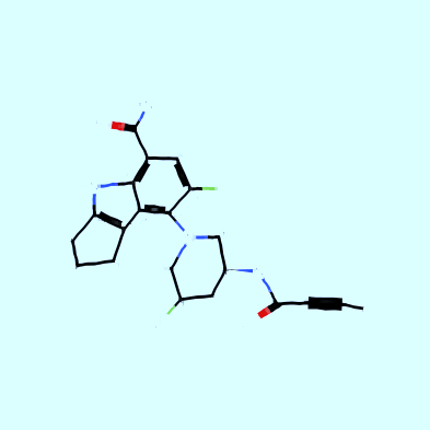 CC#CC(=O)N[C@H]1CC(F)CN(c2c(F)cc(C(N)=O)c3[nH]c4c(c23)CCC4)C1